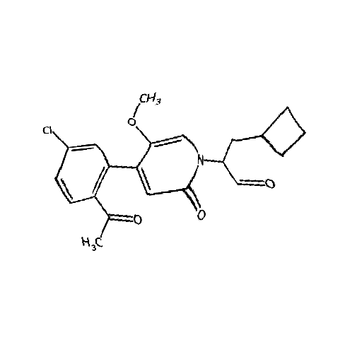 COc1cn(C(C=O)CC2CCC2)c(=O)cc1-c1cc(Cl)ccc1C(C)=O